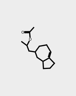 CC(=O)OC(C)CC1CCC=C2CCCC2C1